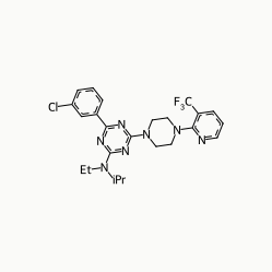 CCN(c1nc(-c2cccc(Cl)c2)nc(N2CCN(c3ncccc3C(F)(F)F)CC2)n1)C(C)C